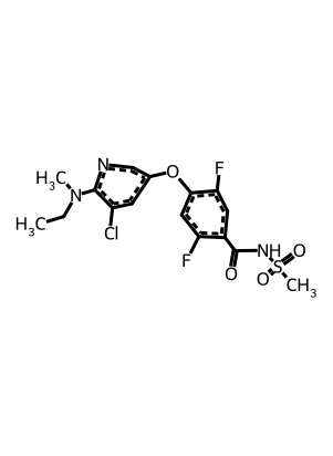 CCN(C)c1ncc(Oc2cc(F)c(C(=O)NS(C)(=O)=O)cc2F)cc1Cl